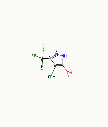 Oc1[nH]nc(C(F)(F)F)c1Cl